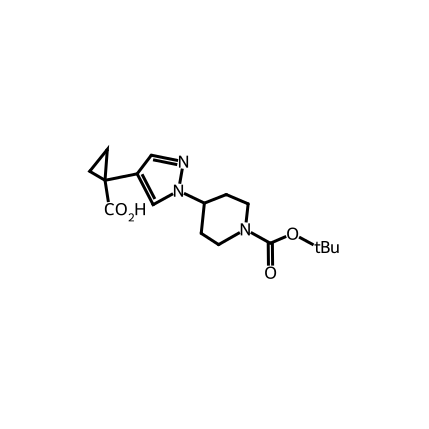 CC(C)(C)OC(=O)N1CCC(n2cc(C3(C(=O)O)CC3)cn2)CC1